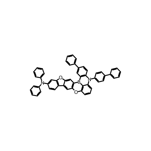 c1ccc(-c2ccc(N3c4ccc(-c5ccccc5)cc4B4c5cc6oc7cc(N(c8ccccc8)c8ccccc8)ccc7c6cc5Oc5cccc3c54)cc2)cc1